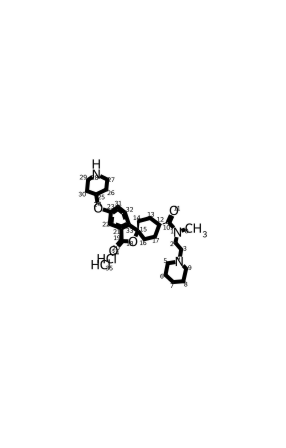 CN(CCN1CCCCC1)C(=O)[C@H]1CC[C@@]2(CC1)OC(=O)c1cc(OC3CCNCC3)ccc12.Cl.Cl